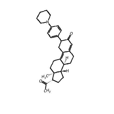 CC(=O)[C@H]1CC[C@H]2[C@@H]3CCC4=CC(=O)C(c5ccc(N6CCCCC6)cc5)CC4=C3CC[C@]12C